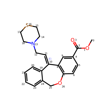 COC(=O)c1ccc2c(c1)/C(=C/CN1CCSCC1)c1ccccc1CO2